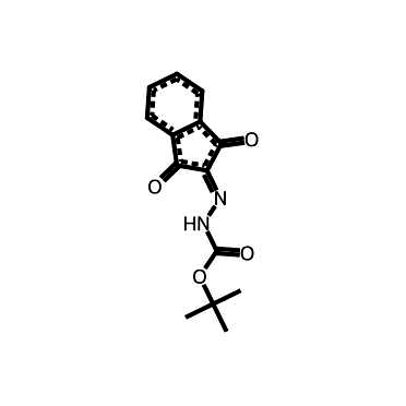 CC(C)(C)OC(=O)NN=c1c(=O)c2ccccc2c1=O